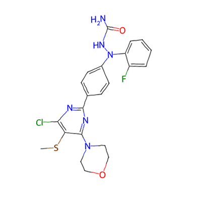 CSc1c(Cl)nc(-c2ccc(N(NC(N)=O)c3ccccc3F)cc2)nc1N1CCOCC1